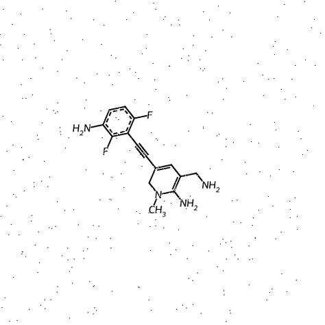 CN1CC(C#Cc2c(F)ccc(N)c2F)=CC(CN)=C1N